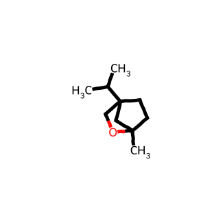 CC(C)C12CCC(C)(C1)OC2